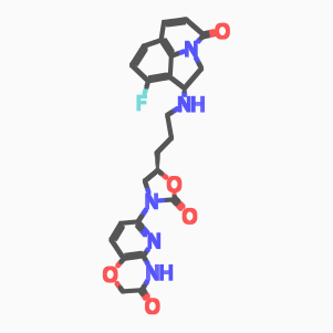 O=C1COc2ccc(N3C[C@@H](CCCN[C@@H]4Cn5c(=O)ccc6ccc(F)c4c65)OC3=O)nc2N1